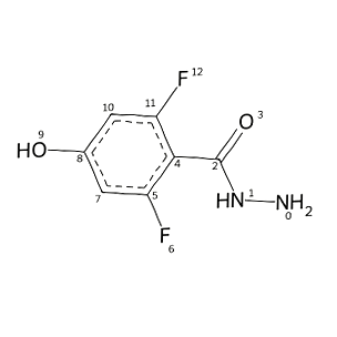 NNC(=O)c1c(F)cc(O)cc1F